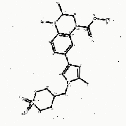 CC(=O)N1c2ccc(-c3cc(C)n(CC4CCS(=O)(=O)CC4)c3)cc2N(C(=O)OC(C)C)C[C@@H]1C